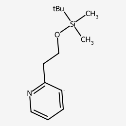 CC(C)(C)[Si](C)(C)OCCc1[c]cccn1